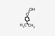 C=C(C)c1ccc(OCCO)cc1